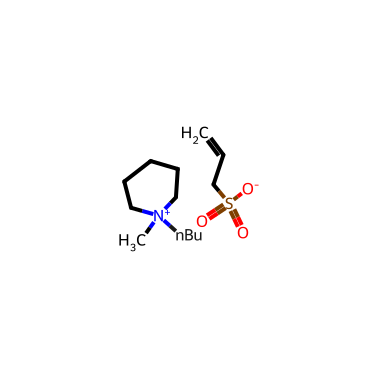 C=CCS(=O)(=O)[O-].CCCC[N+]1(C)CCCCC1